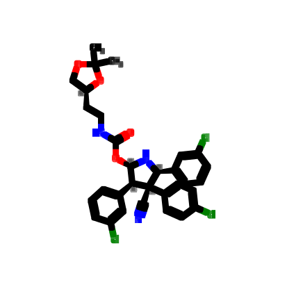 CC1(C)OC[C@H](CCNC(=O)O[C@H]2N[C@@H](c3cccc(Cl)c3)[C@](C#N)(c3ccc(Cl)cc3)[C@H]2c2cccc(Cl)c2)O1